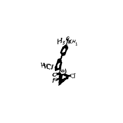 CN(C)C1CC=C(c2cccc(NC(=O)c3c(F)ccc(Cl)c3F)c2)CC1.Cl